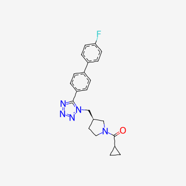 O=C(C1CC1)N1CC[C@@H](Cn2nnnc2-c2ccc(-c3ccc(F)cc3)cc2)C1